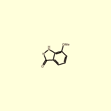 COc1cccc2c1N[N]C2=O